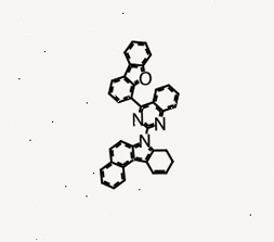 C1=Cc2c(n(-c3nc(-c4cccc5c4oc4ccccc45)c4ccccc4n3)c3ccc4ccccc4c23)CC1